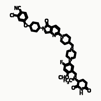 CN(Cc1cc(N2CCN(CC3CCN(c4ccc5c(n4)CN([C@H]4CC[C@H](Oc6ccc(C#N)c(Cl)c6)CC4)C5=O)CC3)CC2)c(F)cc1C=O)C1CCC(=O)NC1=O